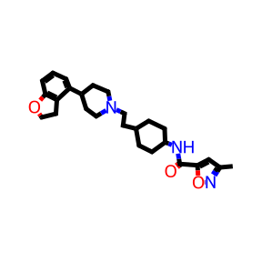 Cc1cc(C(=O)NC2CCC(CCN3CCC(c4cccc5c4CCO5)CC3)CC2)on1